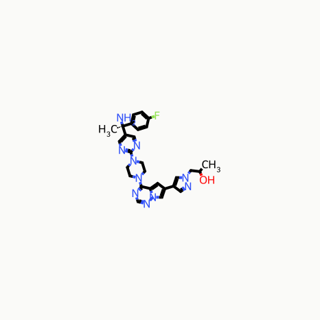 CC(O)Cn1cc(-c2cc3c(N4CCN(c5ncc([C@@](C)(N)c6ccc(F)cc6)cn5)CC4)ncnn3c2)cn1